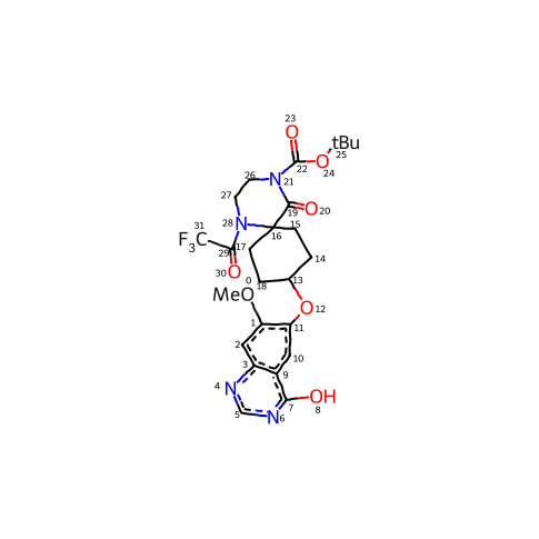 COc1cc2ncnc(O)c2cc1OC1CCC2(CC1)C(=O)N(C(=O)OC(C)(C)C)CCN2C(=O)C(F)(F)F